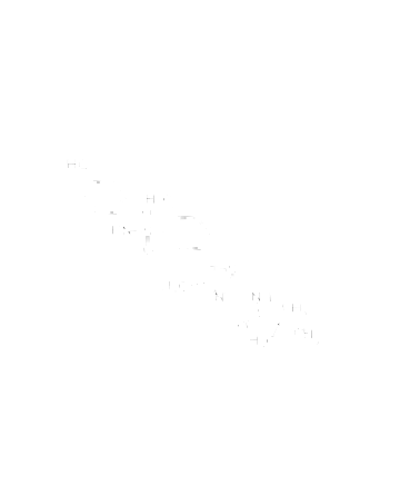 Cc1ccc(-c2sc(NC(=O)C(C)(C)C)nc2C)cc1S(=O)(=O)Nc1ccc(O)cc1